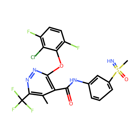 Cc1c(C(F)(F)F)nnc(Oc2c(F)ccc(F)c2Cl)c1C(=O)Nc1cccc(S(C)(=N)=O)c1